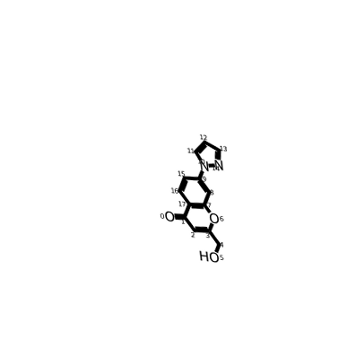 O=c1cc(CO)oc2cc(-n3cccn3)ccc12